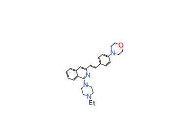 CCN1CCN(c2nc(/C=C/c3ccc(N4CCOCC4)cc3)cc3ccccc23)CC1